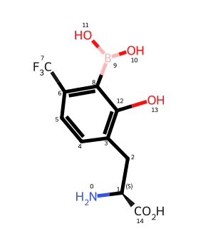 N[C@@H](Cc1ccc(C(F)(F)F)c(B(O)O)c1O)C(=O)O